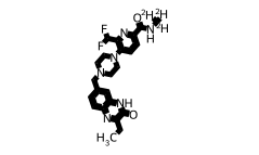 [2H]C([2H])([2H])NC(=O)c1ccc(N2CCN(Cc3ccc4nc(CC)c(=O)[nH]c4c3)CC2)c(C(F)F)n1